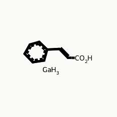 O=C(O)/C=C/c1ccccc1.[GaH3]